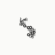 CCCN(Cc1ncc(-c2ccc(-c3ccc4c(ccc5nc([C@@H]6[C@H]7CC[C@H](C7)N6C(=O)[C@H](NC(=O)OC)c6ccccc6)[nH]c54)c3)cc2)[nH]1)C(=O)CNC=O